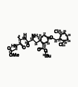 COC(=O)CNC(=O)[C@@H](C)NC(=O)[C@@H](N)Cc1ccc(OCc2c(Cl)cccc2Cl)cc1C(=O)OC(C)(C)C